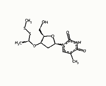 CSS[C@H](C)OC1C[C@H](n2cc(C)c(=O)[nH]c2=O)O[C@@H]1CO